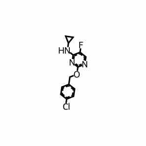 Fc1cnc(OCc2ccc(Cl)cc2)nc1NC1CC1